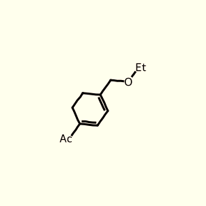 CCOCC1=CC=C(C(C)=O)CC1